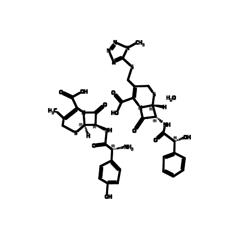 CC1=C(C(=O)O)N2C(=O)[C@@H](NC(=O)[C@H](N)c3ccc(O)cc3)[C@H]2SC1.Cn1nnnc1SCC1=C(C(=O)O)N2C(=O)[C@@H](NC(=O)[C@H](O)c3ccccc3)[C@H]2SC1.O